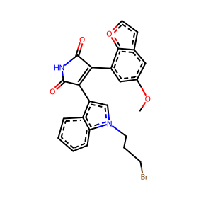 COc1cc(C2=C(c3cn(CCCBr)c4ccccc34)C(=O)NC2=O)c2occc2c1